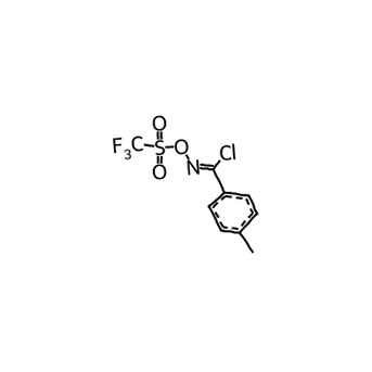 Cc1ccc(/C(Cl)=N/OS(=O)(=O)C(F)(F)F)cc1